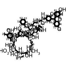 CC(C)C[C@@H]1N[C@H](O)[C@H](CC(=O)O)N[C@H](O)[C@H](Cc2ccc(O)c(I)c2)N[C@@H](O)[C@@H]2CC(O)CN2[C@H](O)[C@@H](N[C@@H](O)[C@H](Cc2ncc[nH]2)N[C@H](O)[C@H](Cc2ccccc2)N[C@@H](O)CCNC(=O)Nc2ccc(-c3c4ccc(=O)cc-4oc4cc(O)ccc34)c(C(=O)O)c2)CSSC[C@@H](C)N[C@H]1O